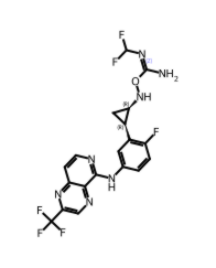 N/C(=N/C(F)F)ON[C@@H]1C[C@@H]1c1cc(Nc2nccc3nc(C(F)(F)F)cnc23)ccc1F